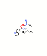 CC(C)C[C@H](NC(=O)c1ccc2ncccc2c1)C(=O)N(C)C#N